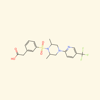 CC1CN(c2ccc(C(F)(F)F)cn2)CC(C)N1S(=O)(=O)c1cccc(CC(=O)O)c1